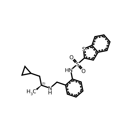 C[C@@H](CC1CC1)NCc1ccccc1NS(=O)(=O)c1cc2ccccc2s1